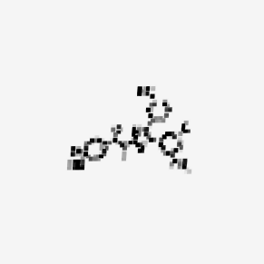 Cc1cc(-c2sc(NC(=O)N3C=CS(=N)(=O)C=C3)nc2-c2cccc(C#N)c2)cc(Cl)n1